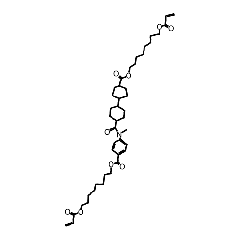 C=CC(=O)OCCCCCCCCOC(=O)c1ccc(N(C)C(=O)C2CCC(C3CCC(C(=O)OCCCCCCCCOC(=O)C=C)CC3)CC2)cc1